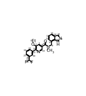 CCOc1cc(C(=O)N(C)Cc2cccc3cn[nH]c23)cnc1-c1cccc(C(F)F)c1